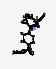 C=C/N=C(\ON)C1CCC(C(=O)OC)CC1